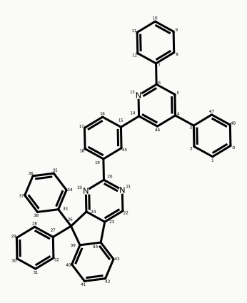 c1ccc(-c2cc(-c3ccccc3)nc(-c3cccc(-c4ncc5c(n4)C(c4ccccc4)(c4ccccc4)c4ccccc4-5)c3)c2)cc1